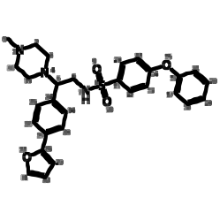 CN1CCN(C(CNS(=O)(=O)c2ccc(Oc3ccccc3)cc2)c2ccc(-c3ccco3)cc2)CC1